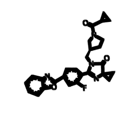 O=C(C1CC1)N1CC[C@@H](CN2C(=O)C3(CC3)N=C2c2ccc(-c3nc4ccccc4o3)cc2F)C1